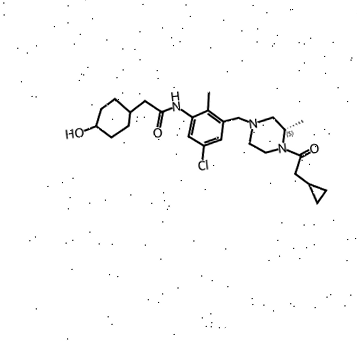 Cc1c(CN2CCN(C(=O)CC3CC3)[C@@H](C)C2)cc(Cl)cc1NC(=O)CC1CCC(O)CC1